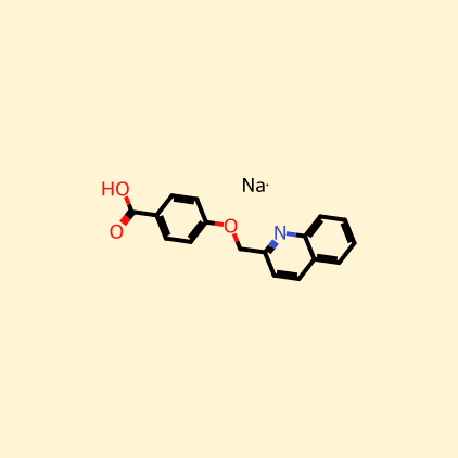 O=C(O)c1ccc(OCc2ccc3ccccc3n2)cc1.[Na]